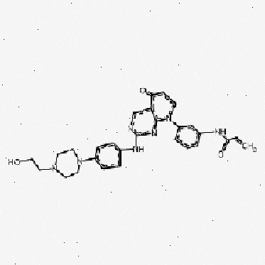 C=CC(=O)Nc1cccc(-n2ccc(=O)c3cnc(Nc4ccc(N5CCN(CCO)CC5)cc4)nc32)c1